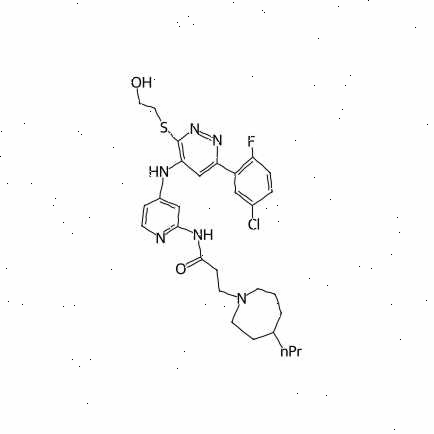 CCCC1CCCN(CCC(=O)Nc2cc(Nc3cc(-c4cc(Cl)ccc4F)nnc3SCCO)ccn2)CC1